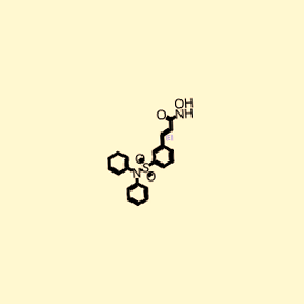 O=C(/C=C/c1cccc(S(=O)(=O)N(C2=CCCC=C2)c2ccccc2)c1)NO